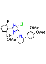 CCc1cccc(CC)c1-c1nc(Cl)c(CN2CCCCC2c2ccc(OC)c(OC)c2)n1CCOC